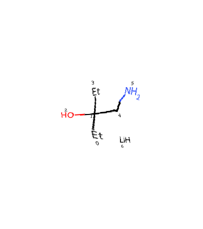 CCC(O)(CC)CN.[LiH]